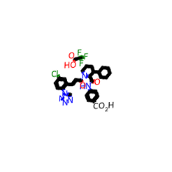 O=C(O)C(F)(F)F.O=C(O)c1ccc(NC(=O)C2C(C3CCCCC3)CCCN2C(=O)C=Cc2cc(Cl)ccc2-n2cnnn2)cc1